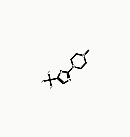 CN1CCN(c2ncc(C(F)(F)F)s2)CC1